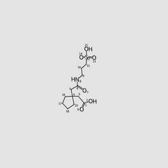 O=C(O)CC1(CC(=O)NCCCS(=O)(=O)O)CCCC1